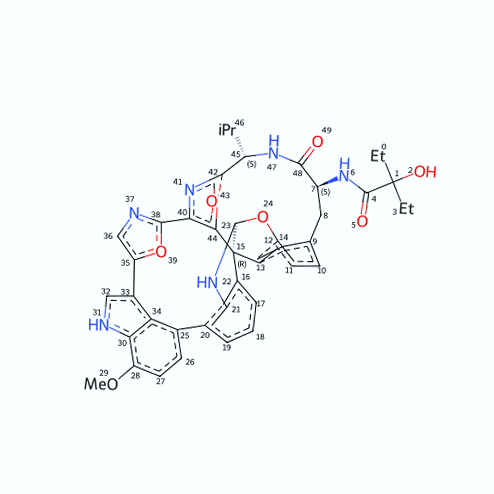 CCC(O)(CC)C(=O)N[C@H]1Cc2ccc3c(c2)[C@]24c5cccc(c5NC2O3)-c2ccc(OC)c3[nH]cc(c23)-c2cnc(o2)-c2nc(oc24)[C@H](C(C)C)NC1=O